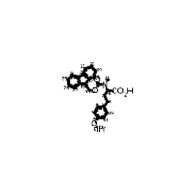 CC(C)Oc1ccc(CCC(C(=O)O)N(C)C(=O)OCC2c3ccccc3-c3ccccc32)cc1